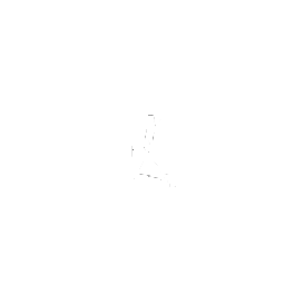 B#[SH]1CS1